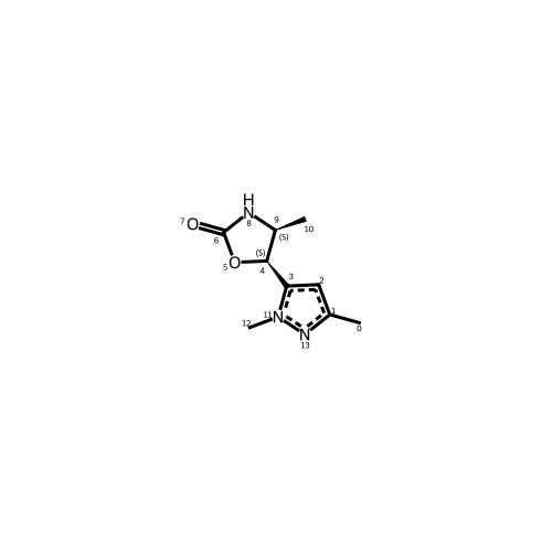 Cc1cc([C@H]2OC(=O)N[C@H]2C)n(C)n1